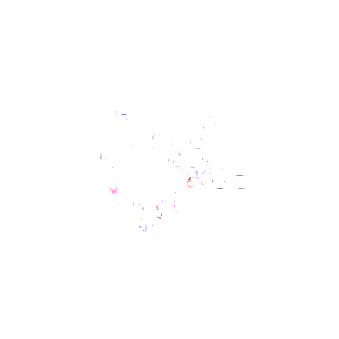 CC[C@H](C)[C@@H]1NC(=O)[C@@H](CCCNC(=N)N)NC(=O)[C@H](CC(C)C)NC(=O)[C@H]([C@H](O)C(C)C)NC(=O)[C@@H](NC(=O)[C@H](Cc2ccc(-c3ccccc3)cc2)NC(=O)[C@@H](Cc2ccc(-c3ccccc3)cc2)NC(=O)OC(C)(C)C)[C@@H](c2ccccc2)OC(=O)[C@H](CO)NC(=O)[C@H]([C@H](O)C(N)=O)NC(=O)CNC(=O)[C@H]([C@H](C)O)NC1=O